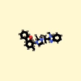 CC[N+]1(C(C)(C)c2nc3ccccc3n2C)C=CN(c2c(C)ccc3c2oc2ccccc23)[C@H]1C